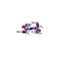 CN[C@@H](C)C(=O)N[C@H](C(=O)N1C[C@@H](NC(=O)c2ccc(C(=O)N[C@H]3C[C@@H](C(=O)N[C@H](C)c4ccc(OC)cc4)N(C(=O)[C@@H](NC(=O)[C@H](C)NC)C4CCCCC4)C3)cc2)C[C@H]1C(=O)N[C@H](C)c1ccc(OC)cc1)C1CCCCC1